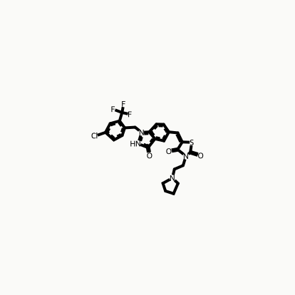 O=C1SC(=Cc2ccc3c(c2)c(=O)[nH]n3Cc2ccc(Cl)cc2C(F)(F)F)C(=O)N1CCN1CCCC1